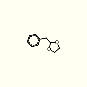 c1ccc(CC2OCCO2)cc1